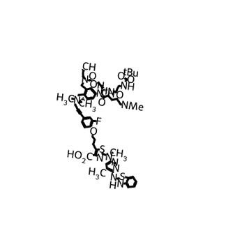 C#CCOC(=O)N(CC#C)Cc1cc(NC(=O)C(CCCNC)NC(=O)CNC(=O)OC(C)(C)C)ccc1C[N+](C)(C)CC#Cc1ccc(OCCCc2sc(N(C)c3cc(C)c(Nc4nc5ccccc5s4)nn3)nc2C(=O)O)c(F)c1